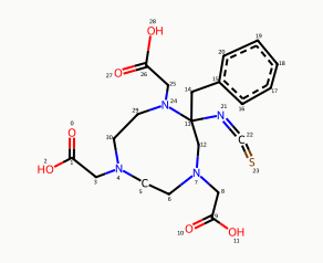 O=C(O)CN1CCN(CC(=O)O)CC(Cc2ccccc2)(N=C=S)N(CC(=O)O)CC1